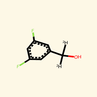 [2H]C([2H])(O)c1cc(F)cc(F)c1